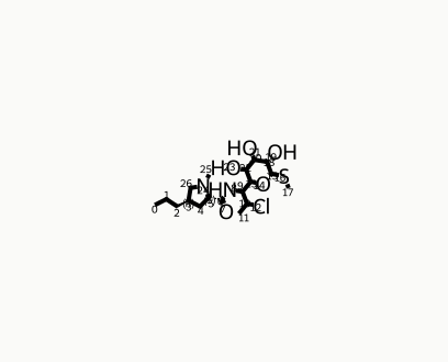 CCC[C@@H]1C[C@@H](C(=O)NC(C(C)Cl)C2OC(SC)C(O)C(O)C2O)N(C)C1